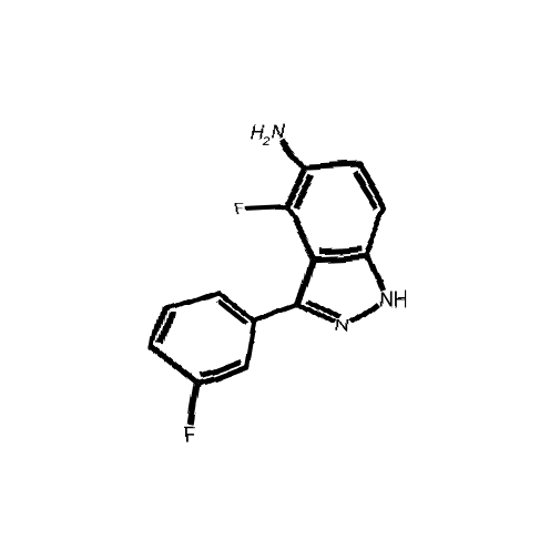 Nc1ccc2[nH]nc(-c3cccc(F)c3)c2c1F